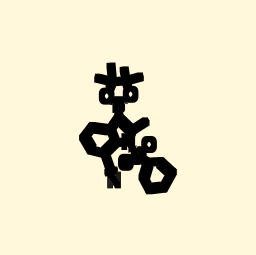 Cc1c(B2OC(C)(C)C(C)(C)O2)c2cccc(C#N)c2n1S(=O)(=O)c1ccccc1